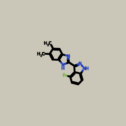 Cc1cc2nc(-c3n[nH]c4cccc(F)c34)[nH]c2cc1C